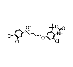 CC1(C)OC(=O)Nc2c(Cl)cc(OCCCC[S+]([O-])c3ccc(Cl)c(Cl)c3)cc21